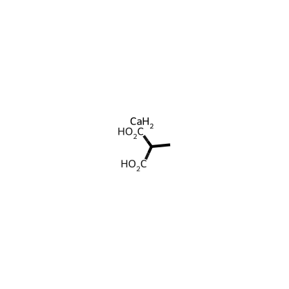 CC(C(=O)O)C(=O)O.[CaH2]